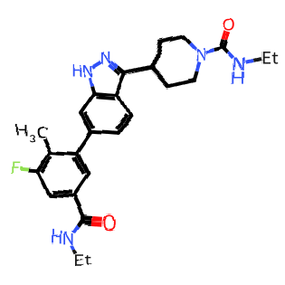 CCNC(=O)c1cc(F)c(C)c(-c2ccc3c(C4CCN(C(=O)NCC)CC4)n[nH]c3c2)c1